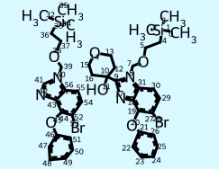 C[Si](C)(C)CCOCn1c(C2(O)CCOCC2)nc2c(Oc3ccccc3)c(Br)ccc21.C[Si](C)(C)CCOCn1cnc2c(Oc3ccccc3)c(Br)ccc21